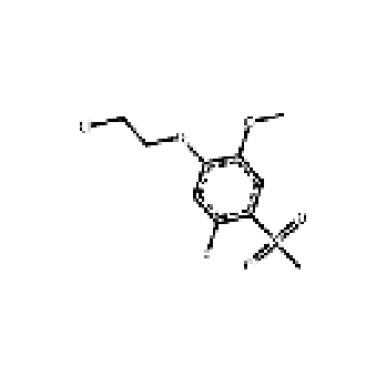 COc1cc(S(C)(=O)=O)c(F)cc1OCCCl